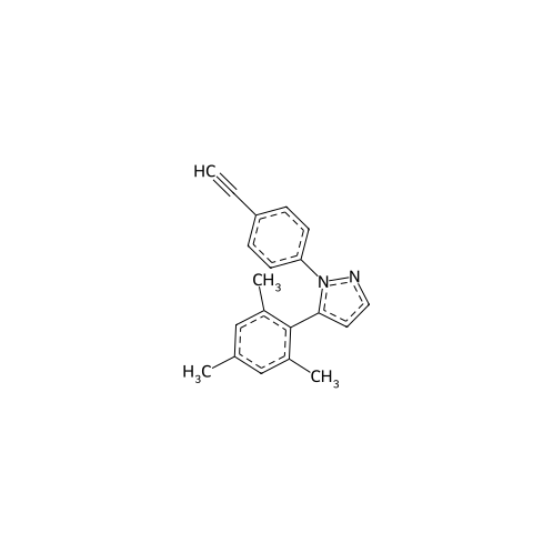 C#Cc1ccc(-n2nccc2-c2c(C)cc(C)cc2C)cc1